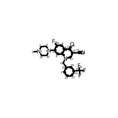 CN1CCN(c2cc3c(cc2F)c(=O)c(C#N)cn3Cc2cccc(C(F)(F)F)c2)CC1